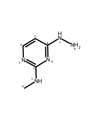 CNc1nccc(NN)n1